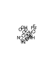 COC(=O)C1=C(C)N(c2cccc(C(F)(F)F)c2)c2n[nH]c(=O)n2[C@@H]1c1ccc(C#N)cc1CN(C)c1nc(C)sc1C.O=CO